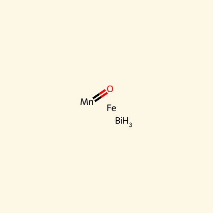 [BiH3].[Fe].[O]=[Mn]